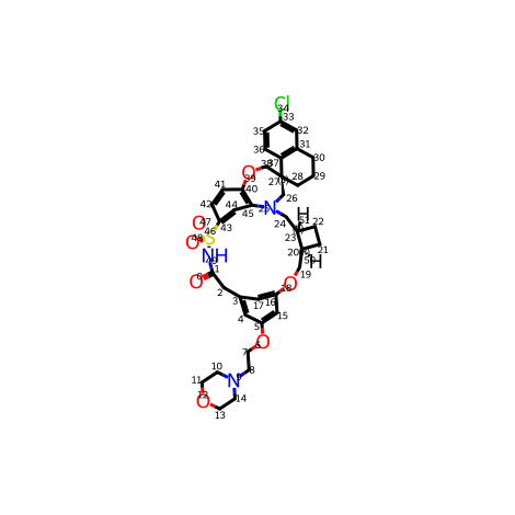 O=C1Cc2cc(OCCN3CCOCC3)cc(c2)OC[C@@H]2CC[C@H]2CN2C[C@@]3(CCCc4cc(Cl)ccc43)COc3ccc(cc32)S(=O)(=O)N1